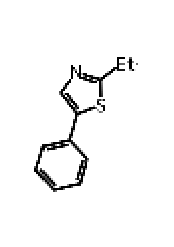 C[CH]c1ncc(-c2ccccc2)s1